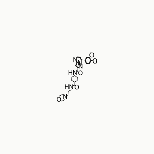 COc1ccc(-c2ccnc3cc(C(=O)N[C@H]4CC[C@H](C(=O)NCCCN5CCOCC5)CC4)nn23)cc1OC